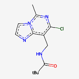 Cc1nc(Cl)c(CNC(=O)C(C)(C)C)c2nccn12